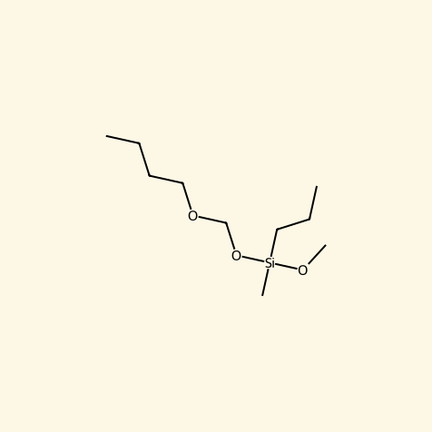 CCCCOCO[Si](C)(CCC)OC